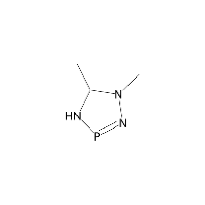 CC1NP=NN1C